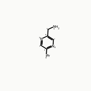 CC(C)c1cnc(CN)cn1